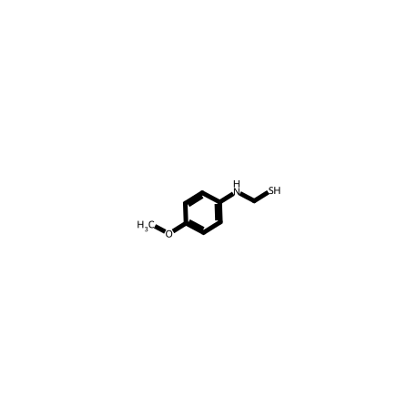 COc1ccc(NCS)cc1